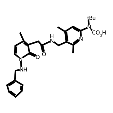 Cc1cc(N(C(=O)O)C(C)(C)C)nc(C)c1CNC(=O)Cc1c(C)ccn(NCc2ccccc2)c1=O